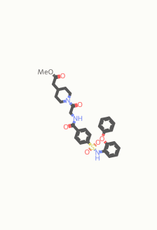 COC(=O)CC1CCN(C(=O)CNC(=O)c2ccc(S(=O)(=O)Nc3ccccc3Oc3ccccc3)cc2)CC1